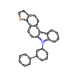 c1ccc(-c2cccc(-n3c4ccccc4c4c5ccc6ccsc6c5ccc43)c2)cc1